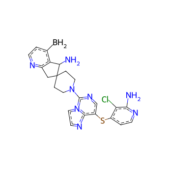 Bc1ccnc2c1C(N)C1(CCN(c3ncc(Sc4ccnc(N)c4Cl)c4nccn34)CC1)C2